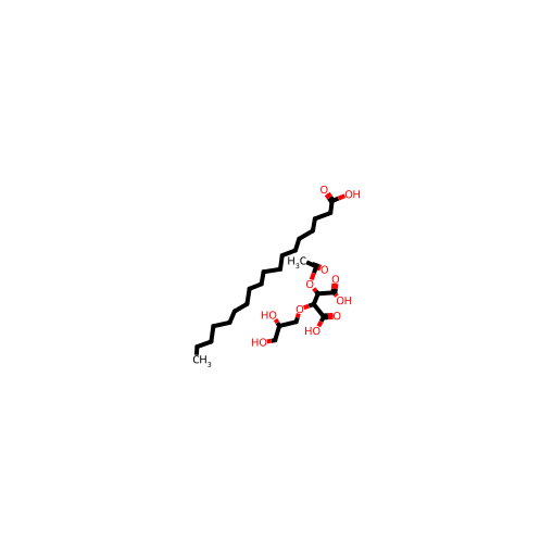 CC(=O)OC(C(=O)O)C(OCC(O)CO)C(=O)O.CCCCCCCCCCCCCCCCCC(=O)O